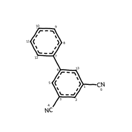 N#Cc1cc(C#N)cc(-c2cc[c]cc2)c1